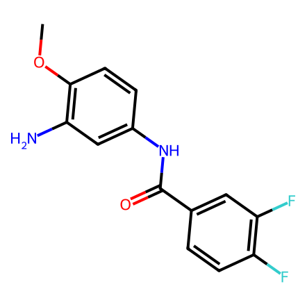 COc1ccc(NC(=O)c2ccc(F)c(F)c2)cc1N